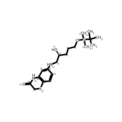 CC(C)(C)[Si](C)(C)OCCC[C@H](O)CNc1ccc2c(c1)NC(=O)CS2